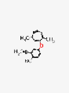 C=Bc1cc(OC2=CC(C)C#CC=C2C)ccc1C#N